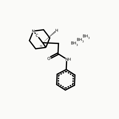 B.B.B.O=C(C[C@@H]1CN2CCC1CC2)Nc1ccccc1